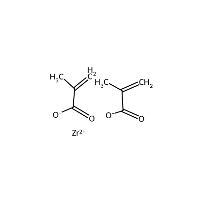 C=C(C)C(=O)[O-].C=C(C)C(=O)[O-].[Zr+2]